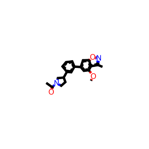 COc1cc(-c2cccc(C3CCN(C(C)=O)C3)c2)cc2onc(C)c12